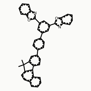 CC1(C)c2cc(-c3ccc(-c4cc(-c5nc6ccccc6o5)cc(-c5nc6ccccc6o5)c4)cc3)ccc2-c2c1ccc1ccccc21